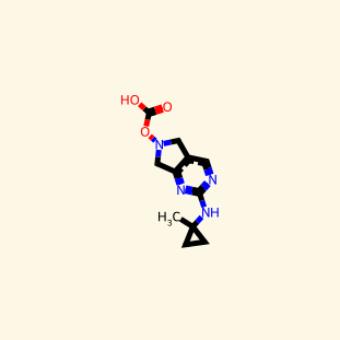 CC1(Nc2ncc3c(n2)CN(OC(=O)O)C3)CC1